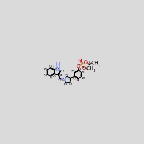 CCOP(=O)(OC)Oc1cccc(C2CCN(Cc3c[nH]c4ccccc34)C2)c1